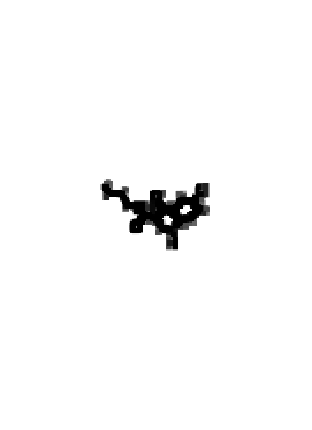 CCCCNC(=O)c1c[nH]c2ccc(Cl)cc2c1=O